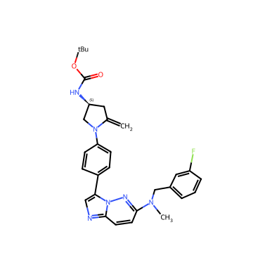 C=C1C[C@H](NC(=O)OC(C)(C)C)CN1c1ccc(-c2cnc3ccc(N(C)Cc4cccc(F)c4)nn23)cc1